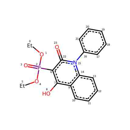 CCOP(=O)(OCC)c1c(O)c2ccccc2n(-c2ccccc2)c1=O